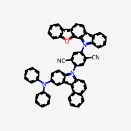 N#Cc1cc(-n2c3ccccc3c3ccc4c5ccccc5oc4c32)c(C#N)cc1-n1c2ccc(N(c3ccccc3)c3ccccc3)cc2c2c3ccccc3ccc21